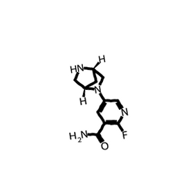 NC(=O)c1cc(N2C[C@@H]3C[C@H]2CN3)cnc1F